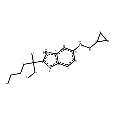 CCCCC(C)(CC)c1nc2ccc(OCC3CC3)cc2[nH]1